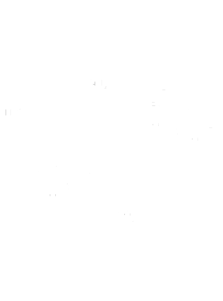 CCO[Si](CCCC=C(CS(=O)(=O)c1ccc(C)cc1)C(=O)O)(OCC)OCC.[SiH4]